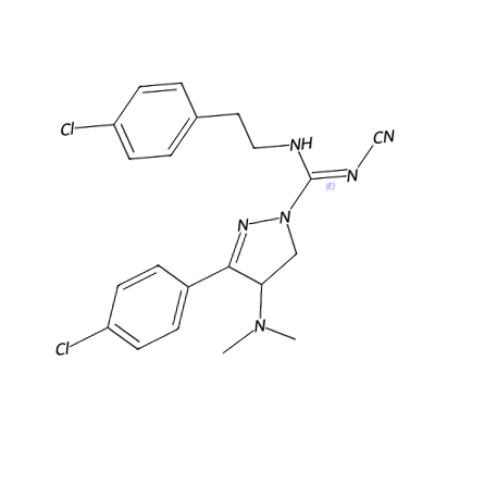 CN(C)C1CN(/C(=N/C#N)NCCc2ccc(Cl)cc2)N=C1c1ccc(Cl)cc1